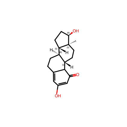 C[C@]12CC[C@@H]3C4C(=O)C=C(O)C=C4CC[C@H]3[C@@H]1CC[C@H]2O